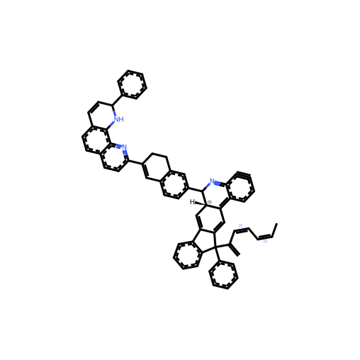 C=C(/C=C\C=C/C)C1(c2ccccc2)C2=CC3=c4ccc#cc4=NC(c4ccc5c(c4)CCC(c4ccc6ccc7c(c6n4)NC(c4ccccc4)C=C7)=C5)[C@H]3C=C2c2ccccc21